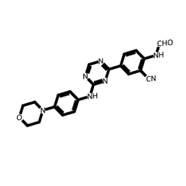 N#Cc1cc(-c2ncnc(Nc3ccc(N4CCOCC4)cc3)n2)ccc1NC=O